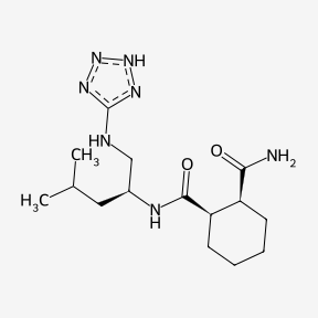 CC(C)C[C@@H](CNc1nn[nH]n1)NC(=O)[C@@H]1CCCC[C@@H]1C(N)=O